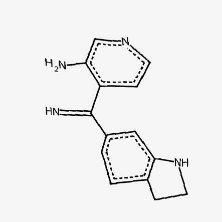 N=C(c1ccc2c(c1)NCC2)c1ccncc1N